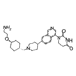 NCCO[C@H]1CC[C@H](CN2CCC(c3ccc4c(N5CCC(=O)NC5=O)cncc4c3)CC2)CC1